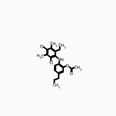 CCCc1ccc(Nc2c(Cl)c(C)c(Cl)c(C)c2CC)c(OC(C)=O)c1